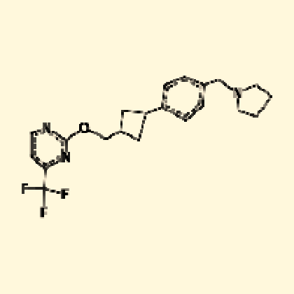 FC(F)(F)c1ccnc(OCC2CC(c3ccc(CN4CCCC4)cc3)C2)n1